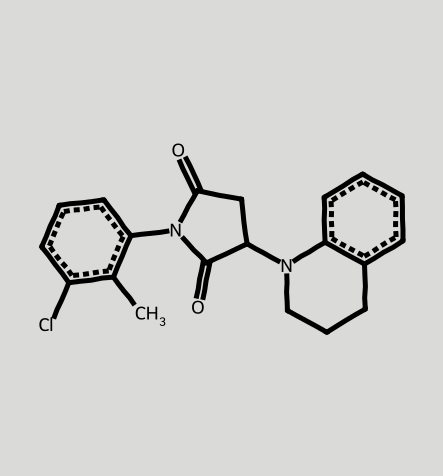 Cc1c(Cl)cccc1N1C(=O)CC(N2CCCc3ccccc32)C1=O